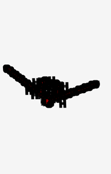 COCCOCCOCCOCCOCCOCCOCCOCCOCCOCC(=O)NCCCCC(NC(=O)CCCNC(=O)C(C(C(=O)NCCCC(=O)NC(CCCCNC(=O)COCCOCCOCCOCCOCCOCCOCCOCCOCCOC)C(=O)NCCCC(=O)NCC(=O)NC(C)C(=O)O)N1C(=O)C=CC1=O)N1C(=O)C=CC1=O)C(=O)NCCCC(=O)NCC(=O)NC(C)C(=O)O